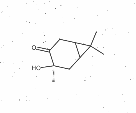 CC1(C)C2CC(=O)[C@](C)(O)CC21